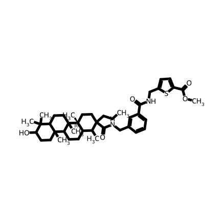 CCCC1(C(=O)NCc2cccc(C(=O)NCc3ccc(C(=O)OC)s3)c2)CC[C@]2(C)C(CCC3C4(C)CCC(O)C(C)(C)C4CCC32C)C1C